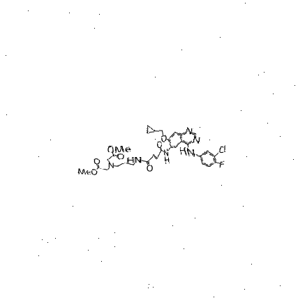 COC(=O)CN(CCCNC(=O)C=CC(=O)Nc1cc2c(Nc3ccc(F)c(Cl)c3)ncnc2cc1OCC1CC1)CC(=O)OC